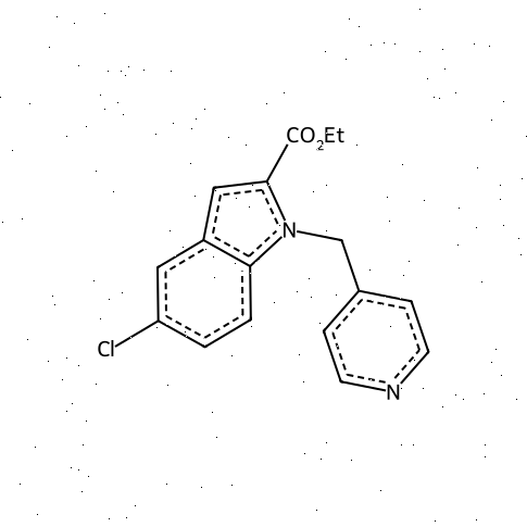 CCOC(=O)c1cc2cc(Cl)ccc2n1Cc1ccncc1